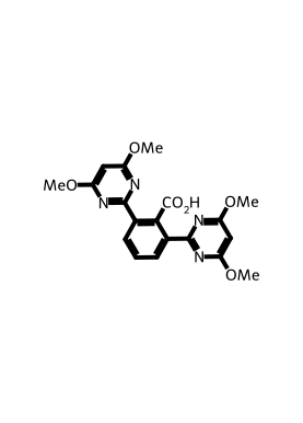 COc1cc(OC)nc(-c2cccc(-c3nc(OC)cc(OC)n3)c2C(=O)O)n1